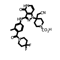 Cc1cc(Nc2nn(C3(CC#N)CCN(C(=O)O)CC3)c3cc[nH]c(=O)c23)ccc1C(=O)N1CCC(F)(F)CC1